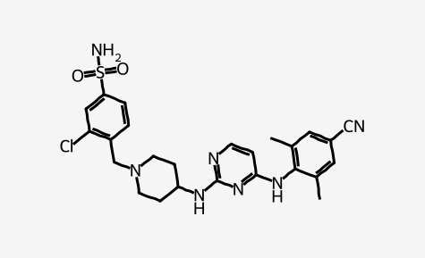 Cc1cc(C#N)cc(C)c1Nc1ccnc(NC2CCN(Cc3ccc(S(N)(=O)=O)cc3Cl)CC2)n1